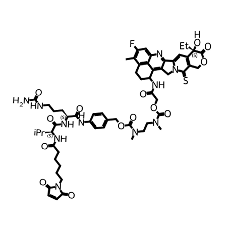 CC[C@@]1(O)C(=O)OCc2c1cc1n(c2=S)Cc2c-1nc1cc(F)c(C)c3c1c2C(NC(=O)COC(=O)N(C)CCN(C)C(=O)OCc1ccc(NC(=O)[C@H](CCCNC(N)=O)NC(=O)[C@@H](NC(=O)CCCCCN2C(=O)C=CC2=O)C(C)C)cc1)CC3